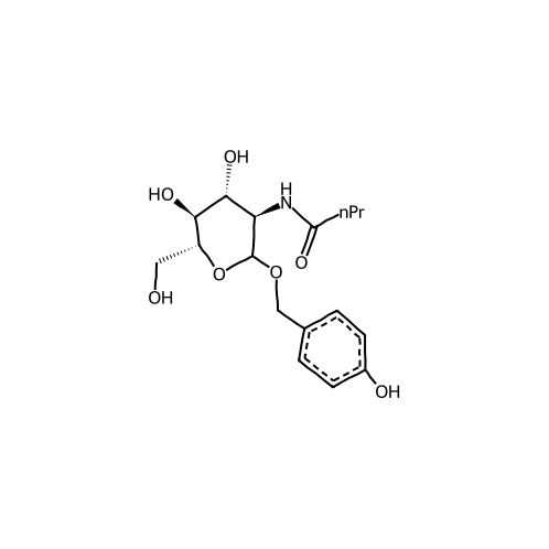 CCCC(=O)N[C@H]1C(OCc2ccc(O)cc2)O[C@H](CO)[C@@H](O)[C@@H]1O